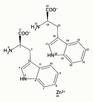 N[C@H](Cc1c[nH]c2ccccc12)C(=O)[O-].N[C@H](Cc1c[nH]c2ccccc12)C(=O)[O-].[Zn+2]